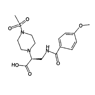 COc1ccc(C(=O)NC[C@@H](C(=O)O)N2CCN(S(C)(=O)=O)CC2)cc1